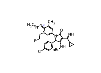 C=N/N=c1/c(C)cc(N2C(=O)C(C(=N)C3CC3)=C(NCCCC)C2c2ccc(Cl)cc2)cn1CCF